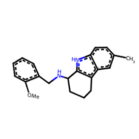 COc1ccccc1CNC1CCCc2c1[nH]c1ccc(C)cc21